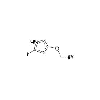 CC(C)COc1c[nH]c(I)c1